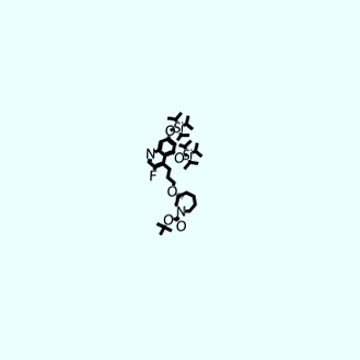 CC(C)[Si](Oc1cc(O[Si](C(C)C)(C(C)C)C(C)C)c2c(CCCO[C@@H]3CCCCN(C(=O)OC(C)(C)C)C3)c(F)cnc2c1)(C(C)C)C(C)C